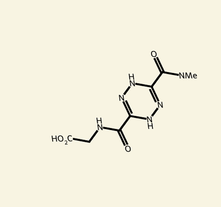 CNC(=O)C1=NNC(C(=O)NCC(=O)O)=NN1